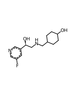 OC1CCC(CNC[C@H](O)c2cncc(F)c2)CC1